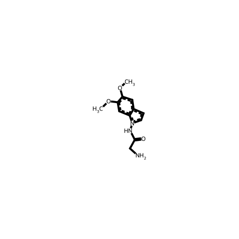 COc1cc2ccn(NC(=O)CN)c2cc1OC